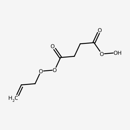 C=CCOOC(=O)CCC(=O)OO